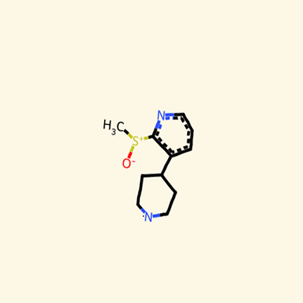 C[S+]([O-])c1ncccc1C1CC[N]CC1